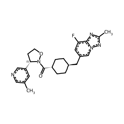 Cc1cncc([C@@H]2CCON2C(=O)[C@H]2CC[C@H](Cc3cc(F)c4nc(C)nn4c3)CC2)c1